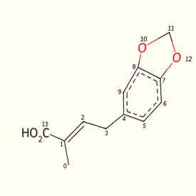 CC(=CCc1ccc2c(c1)OCO2)C(=O)O